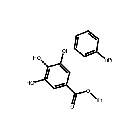 CC(C)OC(=O)c1cc(O)c(O)c(O)c1.CCCc1ccccc1